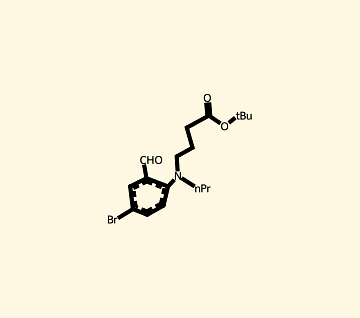 CCCN(CCCC(=O)OC(C)(C)C)c1ccc(Br)cc1C=O